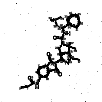 C=CC(=O)Nc1ccc2c(c1)C(=O)N(c1nn(C)c3c1CN(C(=O)N[C@H](CN(C)C)c1ccccc1)C3(C)C)C2=O